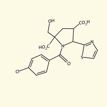 O=C(O)C1CC(CO)(C(=O)O)N(C(=O)c2ccc(Cl)cc2)C1c1nccs1